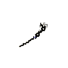 CCCCCCCCCCCC/N=C/c1ccc(OCc2ccc(Cl)c(C(F)(F)F)c2)cc1